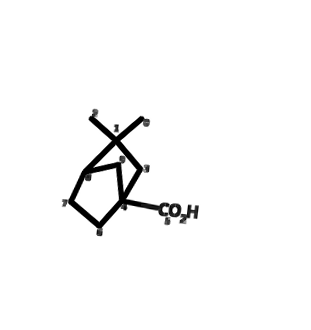 CC1(C)CC2(C(=O)O)CCC1C2